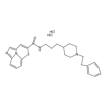 Cl.Cl.O=C(NCCCC1CCN(CCc2ccccc2)CC1)C1=Cc2cnc3cccc(n23)S1